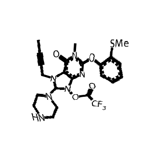 CC#CCN1c2c(nc(Oc3ccccc3SC)n(C)c2=O)N(OC(=O)C(F)(F)F)C1N1CCNCC1